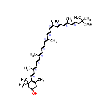 COC(C)(C)C/C=C/C(C)=C/C=C/C(C=O)=C\C=C\C(C)=C\C=C\C=C(C)\C=C\C=C(C)\C=C\C1=C(C)C[C@@H](O)CC1(C)C